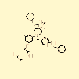 O=C(O)C(F)(F)F.O=C([O-])C(F)(F)F.O=C1N=C(NC2CCCCC2)C2(CC[N+](Cc3ccc(NCc4ccccc4)nc3)(c3cccc(F)c3)CC2)N1